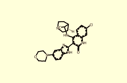 O=c1[nH]c2cc(Cl)ccc2c(N[C@H]2CN3CCC2CC3)c1-c1nc2cc(N3CCOCC3)ccc2[nH]1